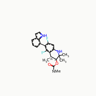 CNC(=O)O[C@H]1[C@H](C)c2c(cc(F)c(-c3cccc4cc[nH]c34)c2F)NC1(C)C